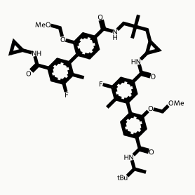 COCOc1cc(C(=O)NCC(C)(C)CC2CC2NC(=O)c2cc(F)c(C)c(-c3ccc(C(=O)NC(C)C(C)(C)C)cc3OCOC)c2)ccc1-c1cc(C(=O)NC2CC2)cc(F)c1C